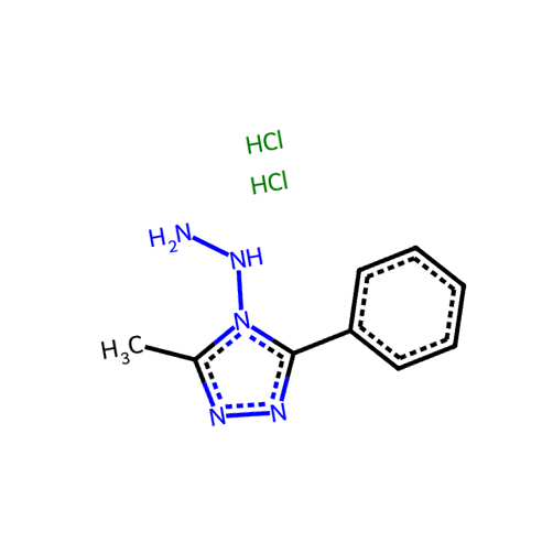 Cc1nnc(-c2ccccc2)n1NN.Cl.Cl